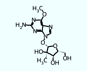 COc1nc(N)nc2c1ncn2O[C@@H]1O[C@H](CO)[C@@H](O)[C@@]1(C)O